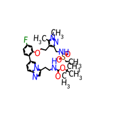 CCS(=O)(=O)NCc1nn(C)c(C)c1CCOc1cc(F)ccc1-c1ccc2ncc(CCNC(=O)OC(C)(C)C)n2c1